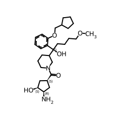 COCCCC[C@@](O)(c1ccccc1OCC1CCCC1)C1CCCN(C(=O)[C@H]2C[C@@H](N)[C@@H](O)C2)C1